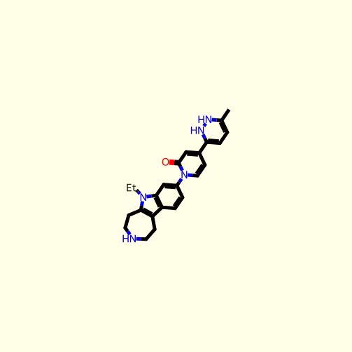 CCn1c2c(c3ccc(-n4ccc(C5=CC=C(C)NN5)cc4=O)cc31)CCNCC2